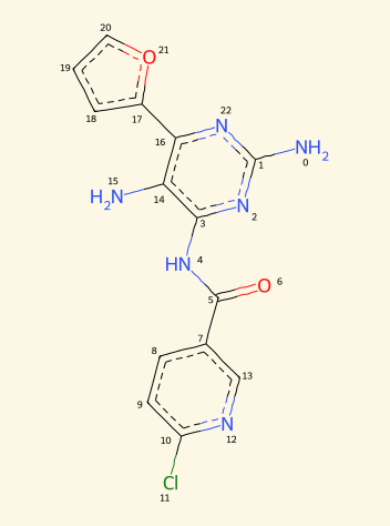 Nc1nc(NC(=O)c2ccc(Cl)nc2)c(N)c(-c2ccco2)n1